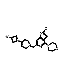 OC1CN(C2CCN(Cc3cc4sc(Cl)cc4c(N4CCOCC4)n3)CC2)C1